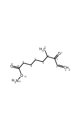 C=CC(=O)C(C)CCCCC(=O)ON